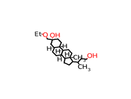 CCOC[C@@]1(O)CC[C@H]2[C@@H](CC[C@@H]3[C@@H]2CC[C@]2(C)C(C(C)CCO)CC[C@@H]32)C1